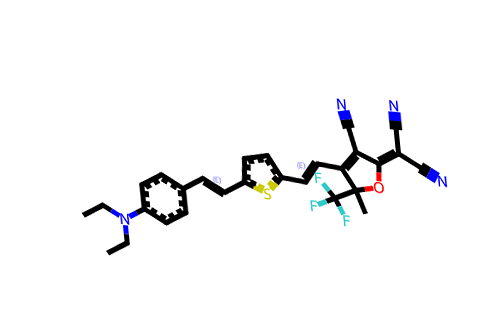 CCN(CC)c1ccc(/C=C/c2ccc(/C=C/C3=C(C#N)C(=C(C#N)C#N)OC3(C)C(F)(F)F)s2)cc1